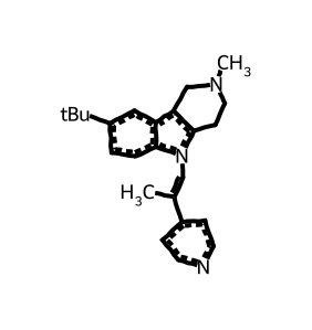 CC(=Cn1c2c(c3cc(C(C)(C)C)ccc31)CN(C)CC2)c1ccncc1